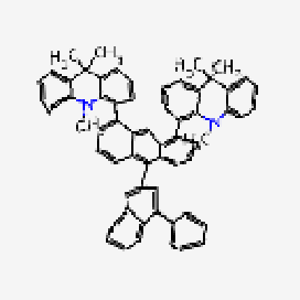 CN1c2ccccc2C(C)(C)c2cccc(-c3cccc4c(-c5cc(-c6ccccc6)c6ccccc6c5)c5cccc(-c6cccc7c6N(C)c6ccccc6C7(C)C)c5cc34)c21